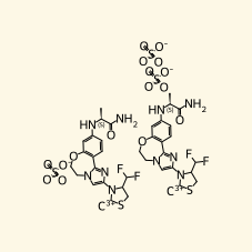 O=S(=O)([O-])[O-].O=S(=O)([O-])[O-].O=S(=O)([O-])[O-].[C+3]C1SCC(C(F)F)N1c1cn2c(n1)-c1ccc(N[C@@H](C)C(N)=O)cc1OCC2.[C+3]C1SCC(C(F)F)N1c1cn2c(n1)-c1ccc(N[C@@H](C)C(N)=O)cc1OCC2